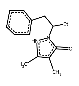 CCC(Cc1ccccc1)n1[nH]c(C)c(C)c1=O